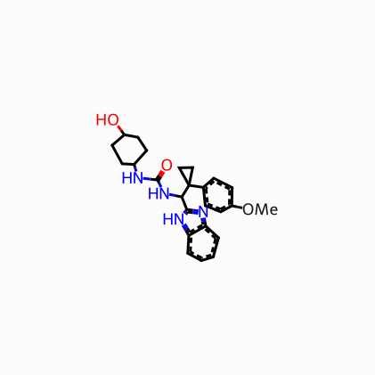 COc1ccc(C2(C(NC(=O)NC3CCC(O)CC3)c3nc4ccccc4[nH]3)CC2)cc1